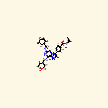 O=C(NC1CC1)c1ccc(-c2cnc3c(NCC4CCOCC4)nc(NCC4CCCCC4)cn23)cc1